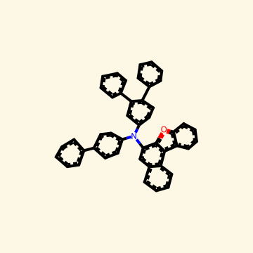 c1ccc(-c2ccc(N(c3ccc(-c4ccccc4)c(-c4ccccc4)c3)c3cc4ccccc4c4c3oc3ccccc34)cc2)cc1